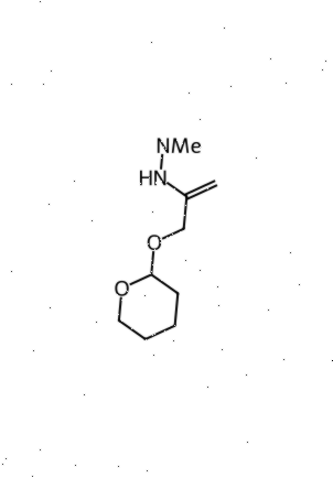 C=C(COC1CCCCO1)NNC